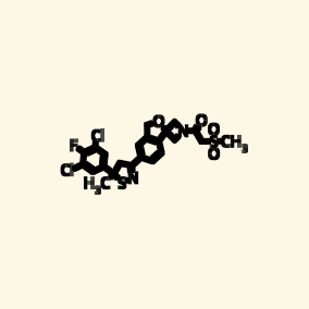 CC1(c2cc(Cl)c(F)c(Cl)c2)CC(c2ccc3c(c2)COC32CN(C(=O)CS(C)(=O)=O)C2)=NS1